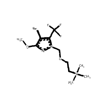 COc1nn(COCC[Si](C)(C)C)c(C(F)(F)F)c1Br